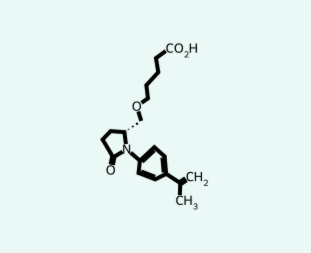 C=C(C)c1ccc(N2C(=O)CC[C@@H]2COCCCCC(=O)O)cc1